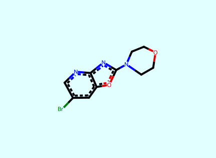 Brc1cnc2nc(N3CCOCC3)oc2c1